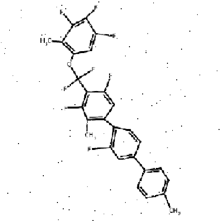 Cc1ccc(-c2ccc(-c3cc(F)c(C(F)(F)Oc4cc(F)c(F)c(F)c4C)c(F)c3C)c(F)c2)cc1